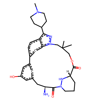 CN1CCC(c2nn3c4cc(ccc24)-c2cc(O)cc(c2)C[C@H](N)C(=O)N2CCC[C@H](N2)C(=O)OCC(C)(C)C3)CC1